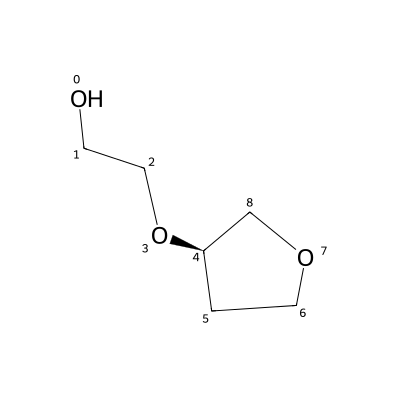 OCCO[C@@H]1CCOC1